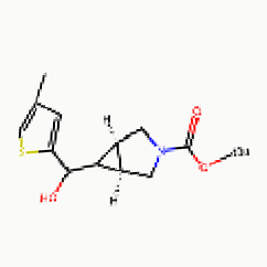 Cc1csc(C(O)C2[C@H]3CN(C(=O)OC(C)(C)C)C[C@@H]23)c1